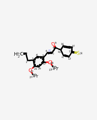 C=CCc1cc(/C=C/C(=O)C2C=CC(=S)C=C2)c(OC(C)C)cc1OC(C)C